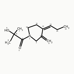 C=C1CN(C(=O)C(C)(C)O)CC/C1=C/CC